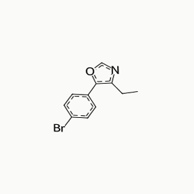 CCc1ncoc1-c1ccc(Br)cc1